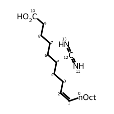 CCCCCCCC/C=C\CCCCCCCC(=O)O.N=C=N